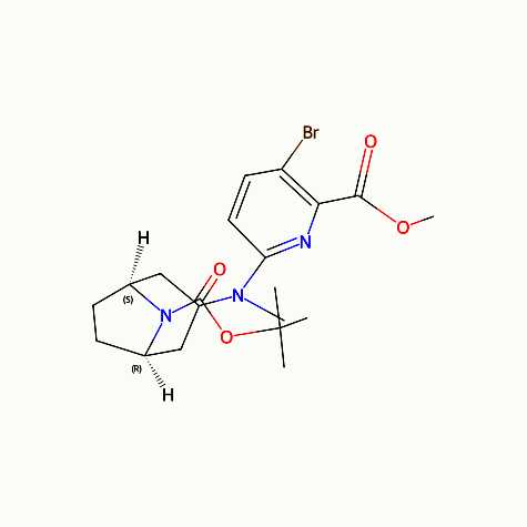 COC(=O)c1nc(N(C)C2C[C@H]3CC[C@@H](C2)N3C(=O)OC(C)(C)C)ccc1Br